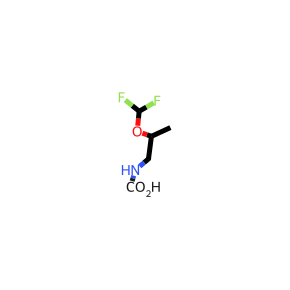 CC(CNC(=O)O)OC(F)F